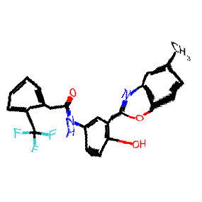 Cc1ccc2oc(-c3cc(NC(=O)c4ccccc4C(F)(F)F)ccc3O)nc2c1